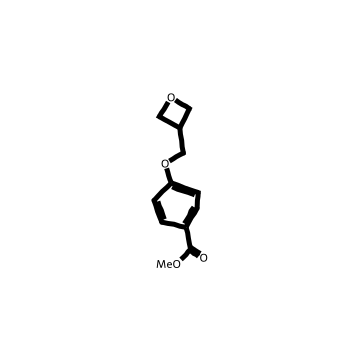 COC(=O)c1ccc(OCC2COC2)cc1